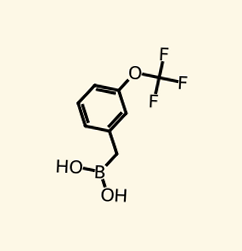 OB(O)Cc1cccc(OC(F)(F)F)c1